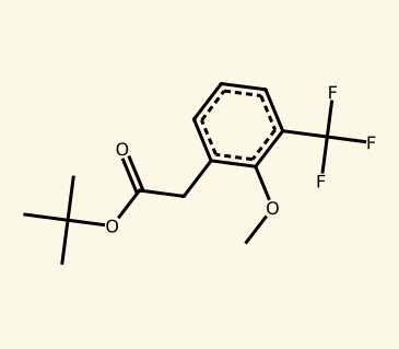 COc1c(CC(=O)OC(C)(C)C)cccc1C(F)(F)F